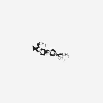 CCCC1(CN2CCC(F)(CN3CCN(C(C)CC)CC3)CC2)CC1